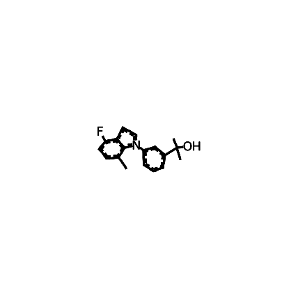 Cc1ccc(F)c2ccn(-c3cccc(C(C)(C)O)c3)c12